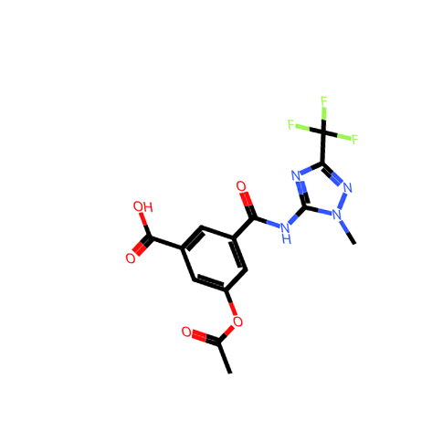 CC(=O)Oc1cc(C(=O)O)cc(C(=O)Nc2nc(C(F)(F)F)nn2C)c1